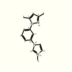 Cc1cc(C)n(-c2cccc(-n3cc[n+](C)c3)c2)n1